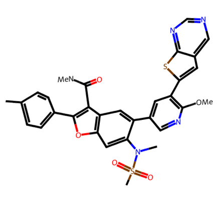 CNC(=O)c1c(-c2ccc(C)cc2)oc2cc(N(C)S(C)(=O)=O)c(-c3cnc(OC)c(-c4cc5cncnc5s4)c3)cc12